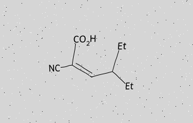 CCC(C=C(C#N)C(=O)O)CC